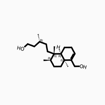 C[C@@H](CCO)CC[C@@]1(C)[C@H](C)CC[C@]2(C)C(CO)=CCC[C@H]12